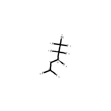 [CH2]CC(F)(F)C(F)(F)[C@@H](F)CC(F)F